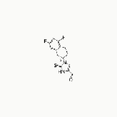 O=Cc1cn([C@H]2CCc3c(F)cc(F)cc3C2)c(=S)[nH]1